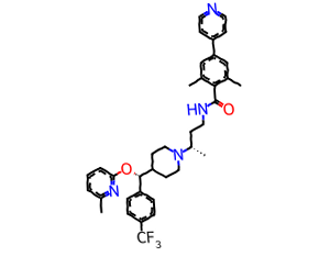 Cc1cccc(O[C@@H](c2ccc(C(F)(F)F)cc2)C2CCN([C@@H](C)CCNC(=O)c3c(C)cc(-c4ccncc4)cc3C)CC2)n1